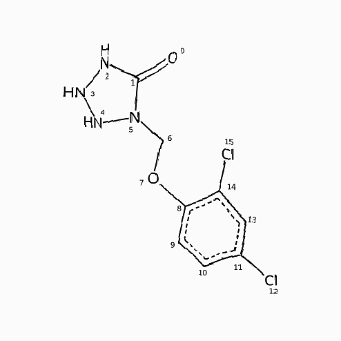 O=C1NNNN1COc1ccc(Cl)cc1Cl